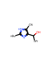 CCCCc1nc(C(O)CCC)c(C#N)[nH]1